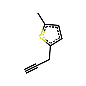 C#CCc1ccc([CH2])s1